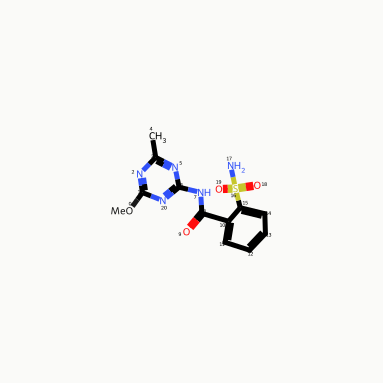 COc1nc(C)nc(NC(=O)c2ccccc2S(N)(=O)=O)n1